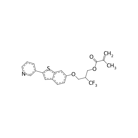 C=C(C)C(=O)OCC(COc1ccc2cc(-c3cccnc3)sc2c1)C(F)(F)F